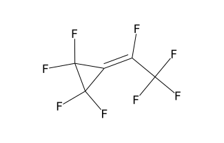 FC(=C1C(F)(F)C1(F)F)C(F)(F)F